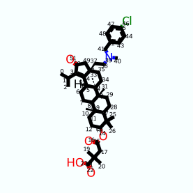 CC(C)C1=C2[C@H]3CCC4[C@@]5(C)CC[C@H](OC(=O)CC(C)(C)C(=O)O)C(C)(C)C5CC[C@@]4(C)[C@]3(C)CC[C@@]2(CCN(C)Cc2ccc(Cl)cc2)CC1=O